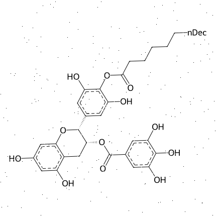 CCCCCCCCCCCCCCCC(=O)Oc1c(O)cc([C@H]2Oc3cc(O)cc(O)c3C[C@H]2OC(=O)c2cc(O)c(O)c(O)c2)cc1O